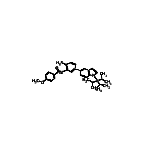 COc1ccc(C(=O)Nc2cc(-c3ccc4c(ccn4[Si](C(C)C)(C(C)C)C(C)C)c3)ccc2N)cc1